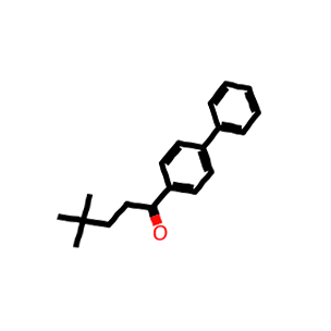 CC(C)(C)CCC(=O)c1ccc(-c2ccccc2)cc1